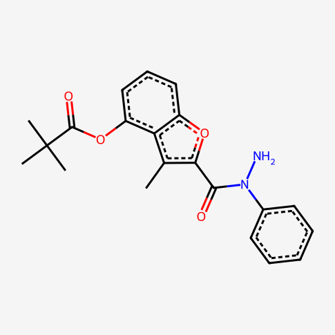 Cc1c(C(=O)N(N)c2ccccc2)oc2cccc(OC(=O)C(C)(C)C)c12